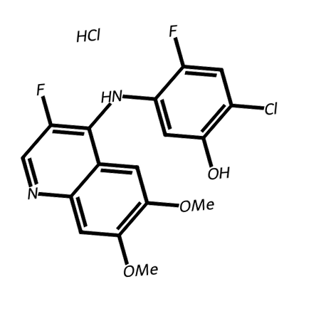 COc1cc2ncc(F)c(Nc3cc(O)c(Cl)cc3F)c2cc1OC.Cl